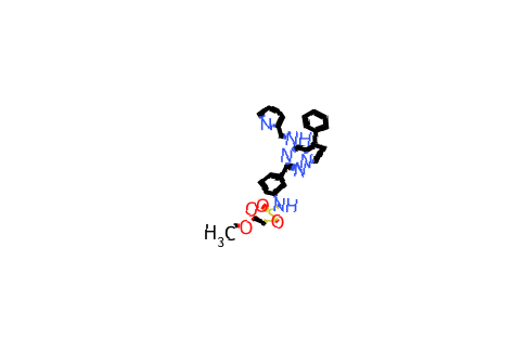 CCOC(=O)CS(=O)(=O)Nc1cccc(-c2nc(NCc3ccccn3)c3c(-c4ccccc4)ccn3n2)c1